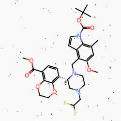 COC(=O)c1ccc([C@H]2CN(CC(F)F)CCN2Cc2c(OC)cc(C)c3c2ccn3C(=O)OC(C)(C)C)c2c1OCCO2